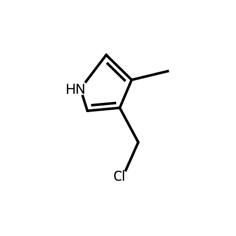 Cc1c[nH]cc1CCl